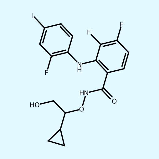 O=C(NOC(CO)C1CC1)c1ccc(F)c(F)c1Nc1ccc(I)cc1F